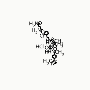 Cc1ncsc1-c1ccc(C(C)NC(=O)[C@@H]2C[C@H](O)CN2C(=O)C(NC(=O)CCCc2cccc(OCC(N)CCC(N)=O)c2Cl)C(C)(C)C)cc1.Cl